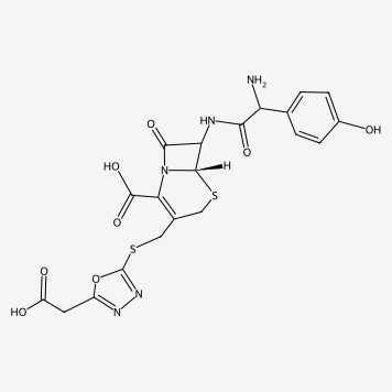 NC(C(=O)NC1C(=O)N2C(C(=O)O)=C(CSc3nnc(CC(=O)O)o3)CS[C@@H]12)c1ccc(O)cc1